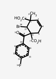 CC1(C(=O)O)C=CCC(C(=O)O)(C(=O)c2ccc(F)cc2)C1Br